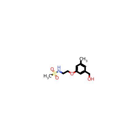 Cc1[c]c(CO)cc(OCCNS(C)(=O)=O)c1